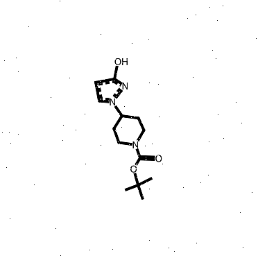 CC(C)(C)OC(=O)N1CCC(n2ccc(O)n2)CC1